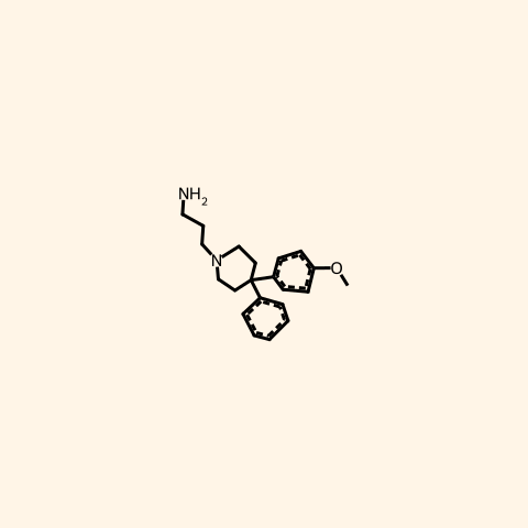 COc1ccc(C2(c3ccccc3)CCN(CCCN)CC2)cc1